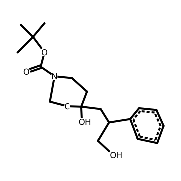 CC(C)(C)OC(=O)N1CCC(O)(CC(CO)c2ccccc2)CC1